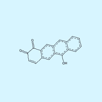 O=C1C=Cc2cc3c(O)c4ccccc4cc3cc2C1=O